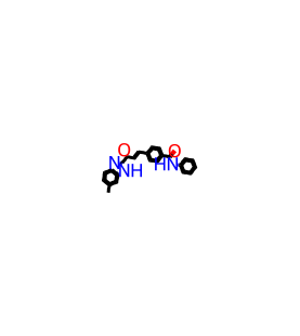 Cc1ccc2nc(C(=O)C=Cc3ccc(C(=O)Nc4ccccc4)cc3)[nH]c2c1